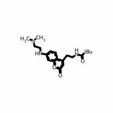 CN(C)CCNc1ccc2c(CCNC(=O)C(C)(C)C)cc(=O)oc2c1